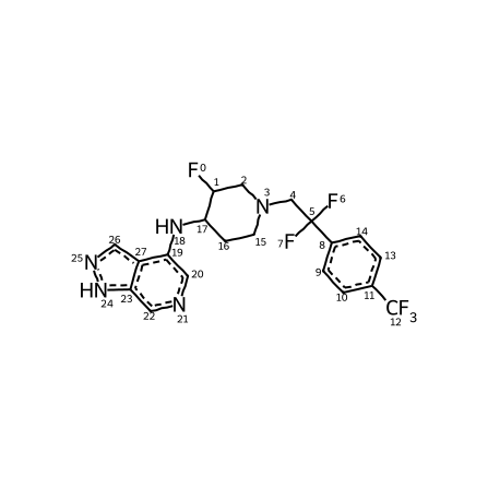 FC1CN(CC(F)(F)c2ccc(C(F)(F)F)cc2)CCC1Nc1cncc2[nH]ncc12